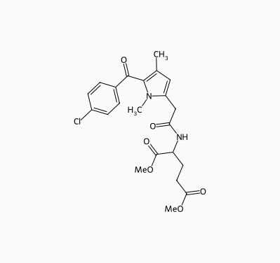 COC(=O)CCC(NC(=O)Cc1cc(C)c(C(=O)c2ccc(Cl)cc2)n1C)C(=O)OC